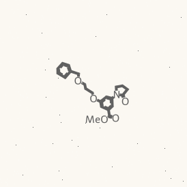 COC(=O)c1cc(OCCCOCc2ccccc2)cc(N2CCCC2=O)c1